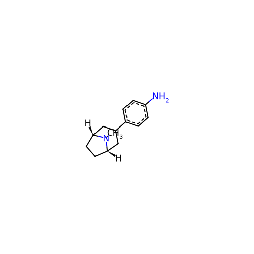 CN1[C@@H]2CC[C@H]1CC(c1ccc(N)cc1)C2